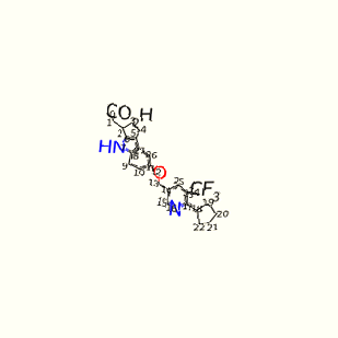 O=C(O)CC1CCc2c1[nH]c1ccc(OCc3cnc(C4CCCC4)c(C(F)(F)F)c3)cc21